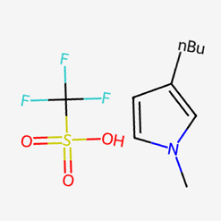 CCCCc1ccn(C)c1.O=S(=O)(O)C(F)(F)F